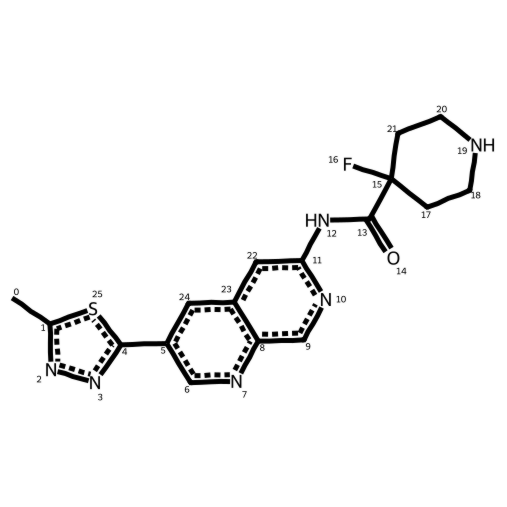 Cc1nnc(-c2cnc3cnc(NC(=O)C4(F)CCNCC4)cc3c2)s1